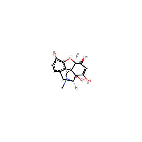 CN1CC[C@]23c4c5ccc(O)c4O[C@H]2C(=O)C=C(O)C3(O)[C@H]1C5